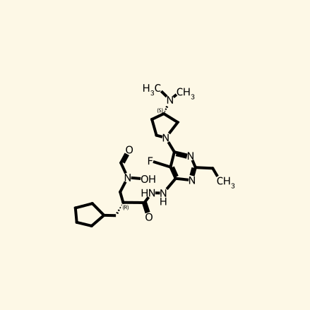 CCc1nc(NNC(=O)[C@H](CC2CCCC2)CN(O)C=O)c(F)c(N2CC[C@H](N(C)C)C2)n1